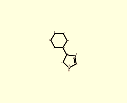 C1=NC(C2CCCCC2)CN1